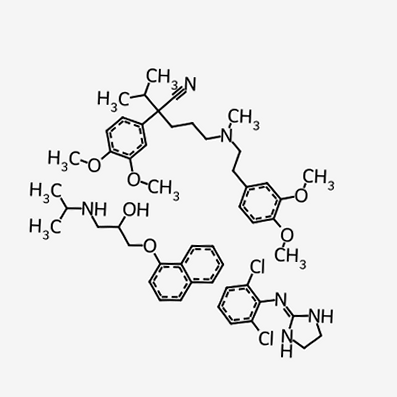 CC(C)NCC(O)COc1cccc2ccccc12.COc1ccc(CCN(C)CCCC(C#N)(c2ccc(OC)c(OC)c2)C(C)C)cc1OC.Clc1cccc(Cl)c1N=C1NCCN1